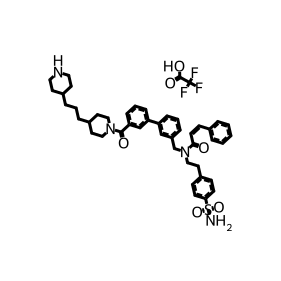 NS(=O)(=O)c1ccc(CCN(Cc2cccc(-c3cccc(C(=O)N4CCC(CCCC5CCNCC5)CC4)c3)c2)C(=O)C=Cc2ccccc2)cc1.O=C(O)C(F)(F)F